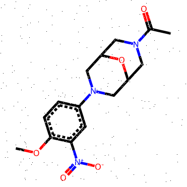 COc1ccc(N2CC3CN(C(C)=O)CC(C2)O3)cc1[N+](=O)[O-]